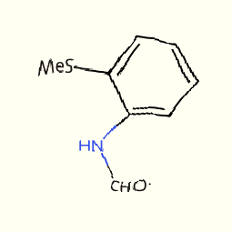 CSc1ccccc1N[C]=O